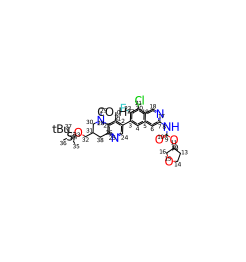 Cc1c(-c2cc3cc(NC(=O)O[C@@H]4CCOC4)ncc3c(Cl)c2F)cnc2c1N(C(=O)O)CC(CO[Si](C)(C)C(C)(C)C)C2